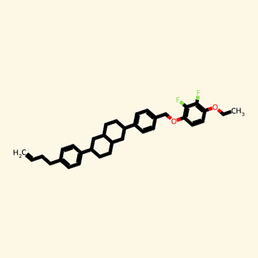 C=CCCc1ccc(C2CCC3CC(c4ccc(COc5ccc(OCC)c(F)c5F)cc4)CCC3C2)cc1